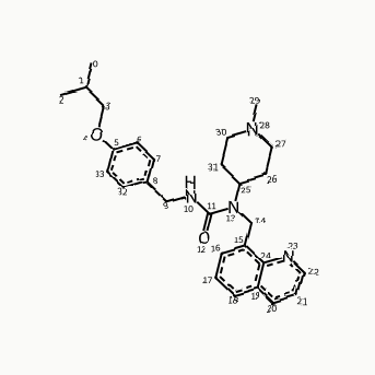 CC(C)COc1ccc(CNC(=O)N(Cc2cccc3cccnc23)C2CCN(C)CC2)cc1